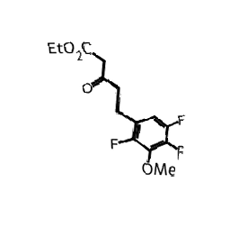 CCOC(=O)CC(=O)CCc1cc(F)c(F)c(OC)c1F